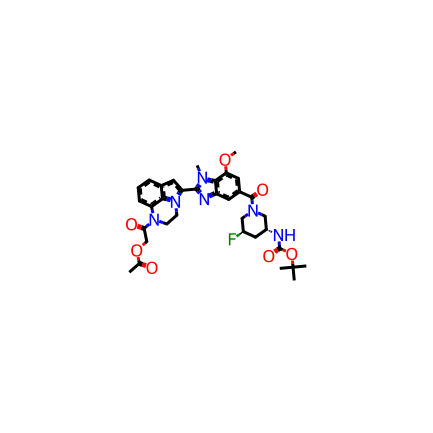 COc1cc(C(=O)N2C[C@H](F)C[C@@H](NC(=O)OC(C)(C)C)C2)cc2nc(-c3cc4cccc5c4n3CCN5C(=O)COC(C)=O)n(C)c12